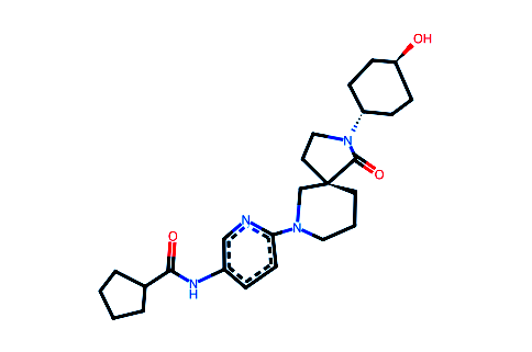 O=C(Nc1ccc(N2CCC[C@]3(CCN([C@H]4CC[C@H](O)CC4)C3=O)C2)nc1)C1CCCC1